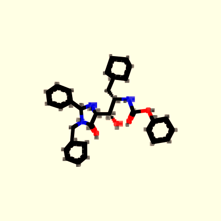 O=C(N[C@@H](Cc1ccccc1)[C@H](O)[C@@H]1NC(c2ccccc2)N(Cc2ccccc2)C1=O)Oc1ccccc1